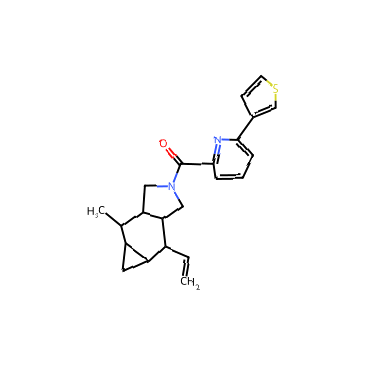 C=CC1C2CC2C(C)C2CN(C(=O)c3cccc(-c4ccsc4)n3)CC12